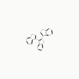 C1=C(C2=C(C3=CCc4ccccc43)c3ccccc3C2)c2ccccc2C1